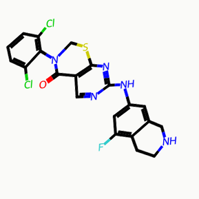 O=C1c2cnc(Nc3cc(F)c4c(c3)CNCC4)nc2SCN1c1c(Cl)cccc1Cl